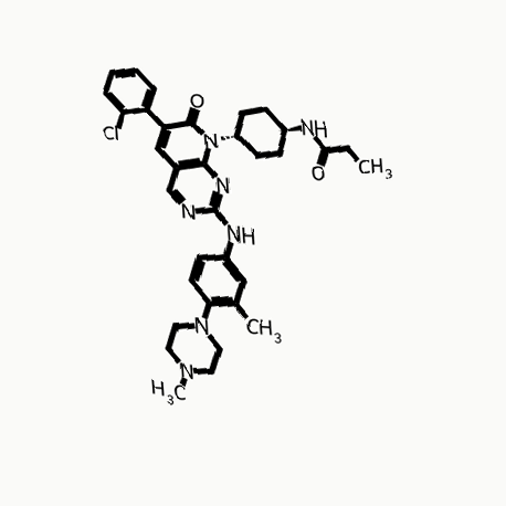 CCC(=O)N[C@H]1CC[C@H](n2c(=O)c(-c3ccccc3Cl)cc3cnc(Nc4ccc(N5CCN(C)CC5)c(C)c4)nc32)CC1